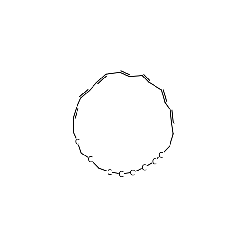 [C]1=C/C=C/C=C/C=C/C=C\C=C\C=C\CCCCCCCCCCCCC/1